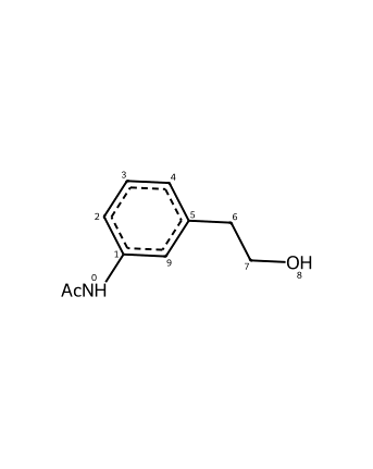 CC(=O)Nc1cccc(CCO)c1